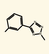 [CH2]c1cccc(-c2nnn(C)n2)c1